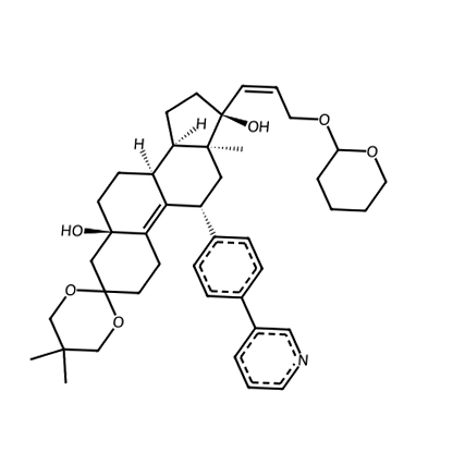 CC1(C)COC2(CCC3=C4[C@@H](CC[C@@]3(O)C2)[C@H]2CC[C@](O)(/C=C\COC3CCCCO3)[C@@]2(C)C[C@@H]4c2ccc(-c3cccnc3)cc2)OC1